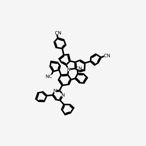 N#Cc1ccc(-c2ccc3c(c2)c2cc(-c4ccc(C#N)cc4)ccc2n3-c2c(-c3ccccc3C#N)cc(-c3nc(-c4ccccc4)cc(-c4ccccc4)n3)cc2-c2ccccc2C#N)cc1